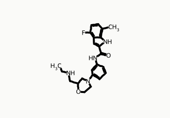 CCNCC1CN(c2cccc(NC(=O)c3cc4c(F)ccc(C)c4[nH]3)c2)CCO1